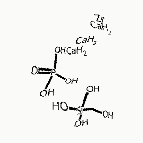 O=P(O)(O)O.O[Si](O)(O)O.[CaH2].[CaH2].[CaH2].[Zr]